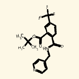 CC(C)(C)OC(=O)c1cc(C(F)(F)F)ccc1C(=O)NCc1ccncc1